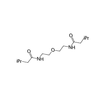 CC(C)CC(=O)NCCOCCNC(=O)CC(C)C